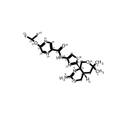 CC1(C)C[C@@H]2CSC(N)=N[C@]2(c2nc(NC(=O)c3cnc(OC(F)F)cn3)cs2)CO1